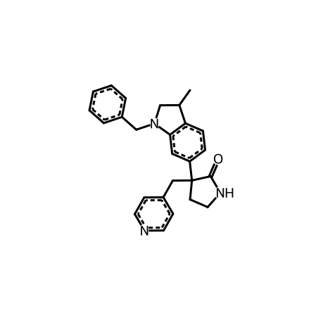 CC1CN(Cc2ccccc2)c2cc(C3(Cc4ccncc4)CCNC3=O)ccc21